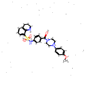 COc1ccc(N2CCN(C(=O)c3ccc(NS(=O)(=O)c4cccc5c4N=CCC5)cc3)CC2)cc1